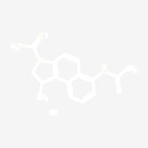 CC(=O)Nc1cccc2c3c(ccc12)N(C(=N)N)CC3C.Cl